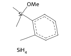 CO[Si](C)(C)c1ccccc1C.[SiH4]